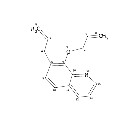 C=CCOc1c(CC=C)ccc2cccnc12